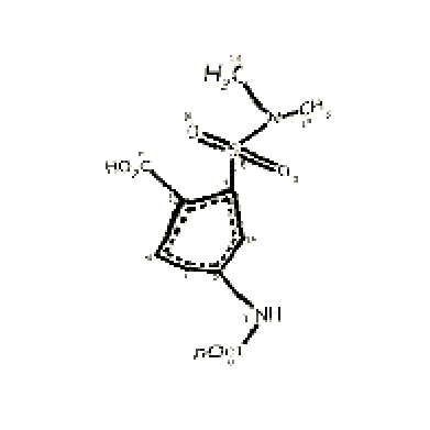 CCCCCCCCNc1ccc(C(=O)O)c(S(=O)(=O)N(C)C)c1